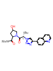 CNC(=O)C1CC(O)CN1C(=O)[C@@H](n1cc(-c2ccc3ncccc3c2)nn1)C(C)(C)C